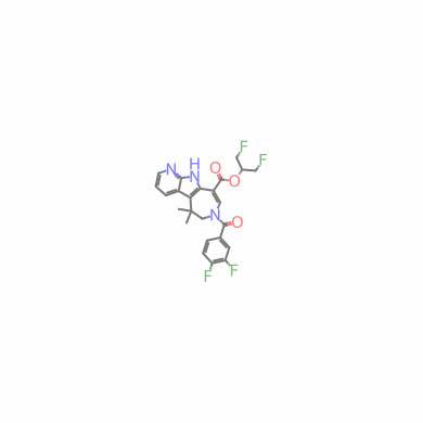 CC1(C)CN(C(=O)c2ccc(F)c(F)c2)C=C(C(=O)OC(CF)CF)c2[nH]c3ncccc3c21